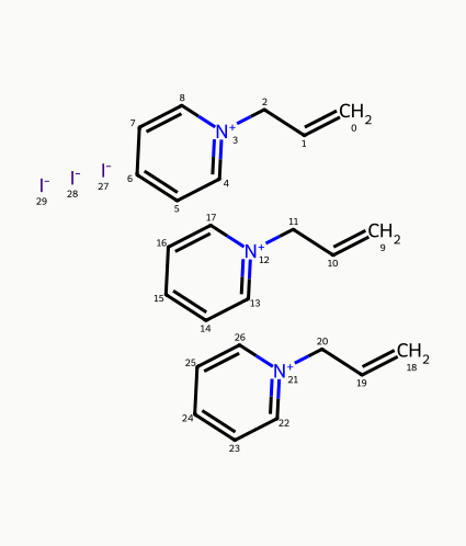 C=CC[n+]1ccccc1.C=CC[n+]1ccccc1.C=CC[n+]1ccccc1.[I-].[I-].[I-]